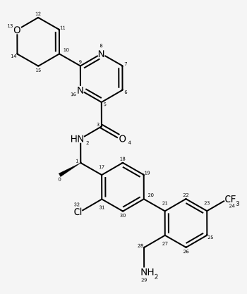 C[C@@H](NC(=O)c1ccnc(C2=CCOCC2)n1)c1ccc(-c2cc(C(F)(F)F)ccc2CN)cc1Cl